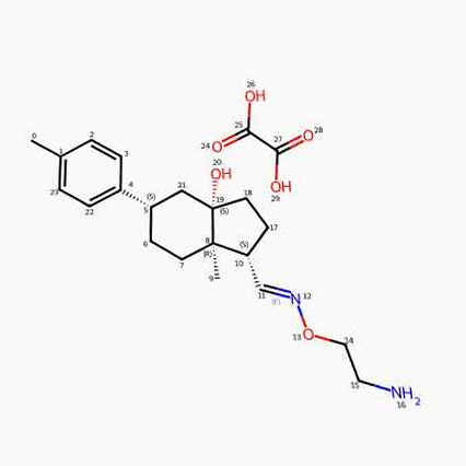 Cc1ccc([C@H]2CC[C@]3(C)[C@@H](/C=N/OCCN)CC[C@]3(O)C2)cc1.O=C(O)C(=O)O